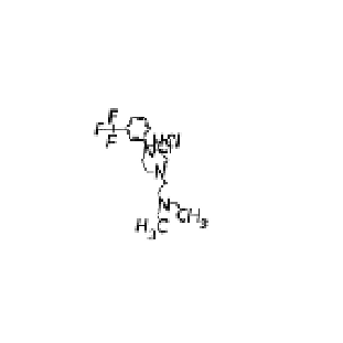 CCN(CC)CCN1CCN(c2cccc(C(F)(F)F)c2)CC1.Cl.Cl